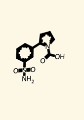 NS(=O)(=O)c1cccc(-c2cccn2C(=O)O)c1